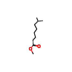 COC(=O)CCCCCC(C)C